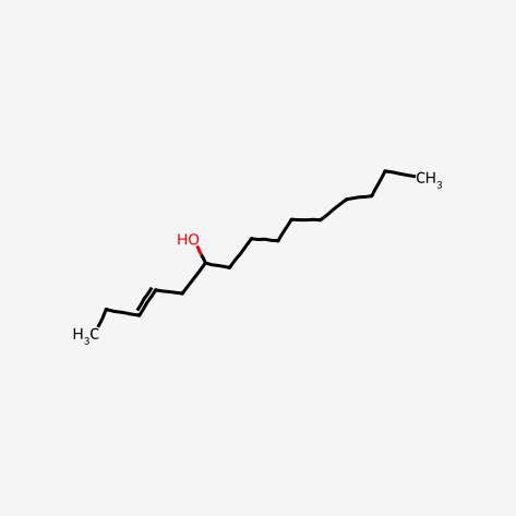 CCC=CCC(O)CCCCCCCCC